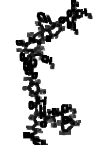 CCc1c2c(nc3ccc(OC(=O)OC(C)(C)C)cc13)-c1cc3c(c(=O)n1C2)COC(=O)[C@@]3(CC)OC(=O)OCc1ccc(NC(=O)C(CCCCNC)NC(=O)C(Cc2ccccc2)NC(C)=O)cc1